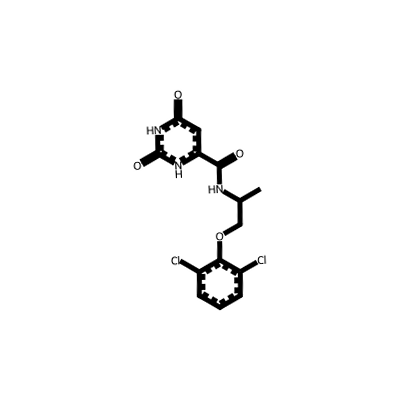 CC(COc1c(Cl)cccc1Cl)NC(=O)c1cc(=O)[nH]c(=O)[nH]1